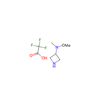 CON(C)C1CNC1.O=C(O)C(F)(F)F